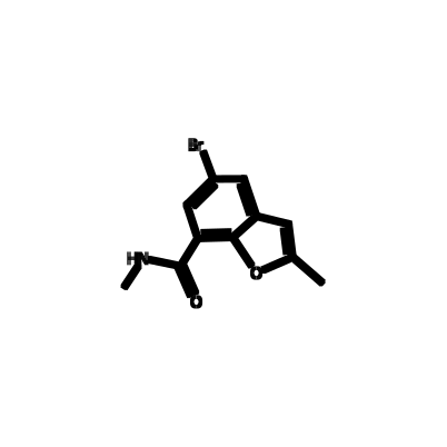 CNC(=O)c1cc(Br)cc2cc(C)oc12